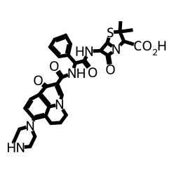 CC1(C)SC2C(NC(=O)C(NC(=O)c3cn4c5c(c(N6CCNCC6)ccc5c3=O)CCC4)c3ccccc3)C(=O)N2C1C(=O)O